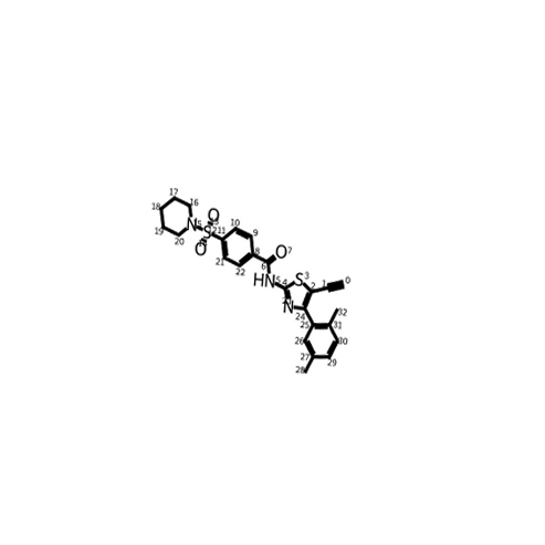 C#Cc1sc(NC(=O)c2ccc(S(=O)(=O)N3CCCCC3)cc2)nc1-c1cc(C)ccc1C